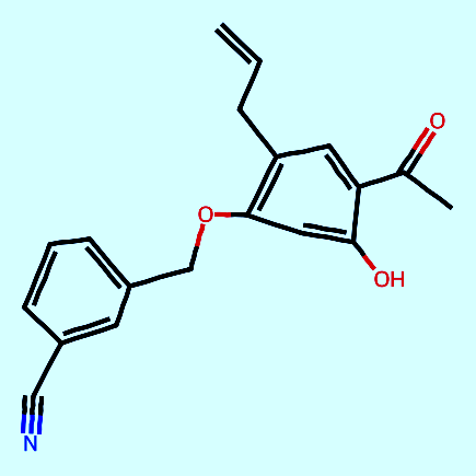 C=CCc1cc(C(C)=O)c(O)cc1OCc1cccc(C#N)c1